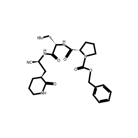 CC(C)(C)C[C@H](NC(=O)[C@@H]1CCCN1C(=O)OCc1ccccc1)C(=O)N[C@H](C#N)C[C@@H]1CCCNC1=O